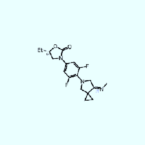 CC[C@H]1CN(c2cc(F)c(N3C/C(=N\C)C4(CC4)C3)c(F)c2)C(=O)O1